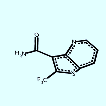 NC(=O)c1c(C(F)(F)F)sc2cccnc12